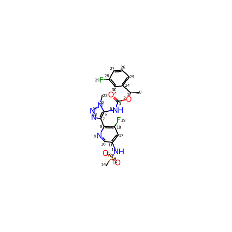 C[C@@H](OC(=O)Nc1c(-c2ncc(NS(C)(=O)=O)cc2F)nnn1C)c1cccc(F)c1